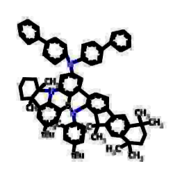 Cc1cc(C(C)(C)C)ccc1N1B2c3cc(C(C)(C)C)cc4c3N(c3cc(N(c5ccc(-c6ccccc6)cc5)c5ccc(-c6ccccc6)cc5)cc(c32)-c2ccc3c(c21)C(C)(C)c1cc2c(cc1-3)C(C)(C)CCC2(C)C)C1(C)CCCCC41C